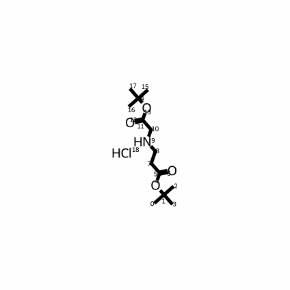 CC(C)(C)OC(=O)CCNCC(=O)OC(C)(C)C.Cl